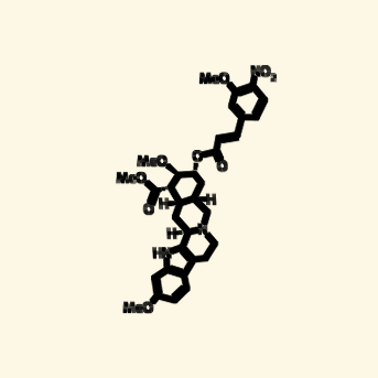 COC(=O)[C@H]1[C@H]2C[C@@H]3c4[nH]c5cc(OC)ccc5c4CCN3C[C@H]2C[C@@H](OC(=O)/C=C/c2ccc([N+](=O)[O-])c(OC)c2)[C@@H]1OC